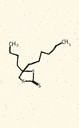 CCCCCCC1(CCCC)CSC(=S)S1